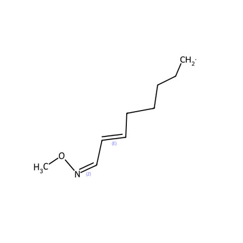 [CH2]CCCC/C=C/C=N\OC